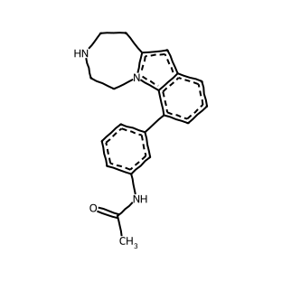 CC(=O)Nc1cccc(-c2cccc3cc4n(c23)CCNCC4)c1